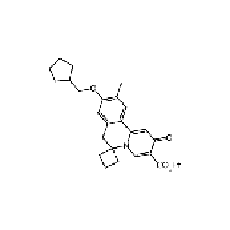 CCOC(=O)c1cn2c(cc1=O)-c1cc(C)c(OCC3CCCC3)cc1CC21CCC1